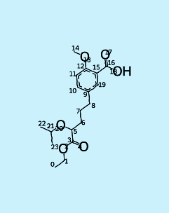 CCOC(=O)C(CCCc1ccc(OC)c(C(=O)O)c1)OC(C)C